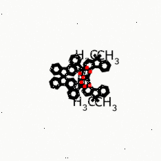 CC1(C)c2ccccc2-c2cc(N(c3cccc(-c4ccccc4)c3)c3ccc4c(c3)C3(c5ccccc5-4)c4ccccc4-c4ccc(N(c5cccc(-c6ccccc6)c5)c5ccc6c(c5)-c5ccccc5C6(C)C)cc43)ccc21